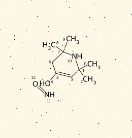 CC1(C)C=C(O)CC(C)(C)N1.N=O